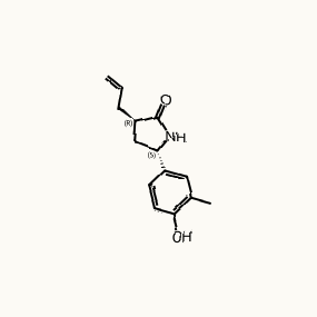 C=CC[C@@H]1C[C@@H](c2ccc(O)c(C)c2)NC1=O